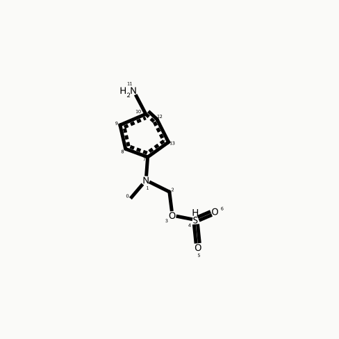 CN(CO[SH](=O)=O)c1ccc(N)cc1